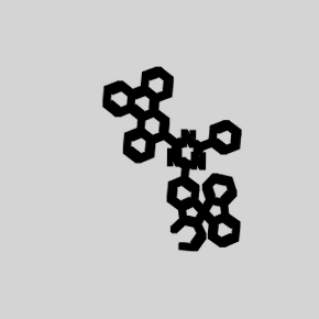 C/C=C\C1=C(C)c2ccc(-c3nc(-c4ccccc4)nc(-c4cc5c6ccccc6c6ccccc6c5c5ccccc45)n3)cc2C12c1ccccc1-c1ccccc12